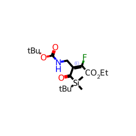 CCOC(=O)/C(F)=C(/CNC(=O)OC(C)(C)C)C(=O)[Si](C)(C)C(C)(C)C